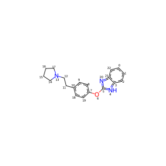 c1ccc2[nH]c(Oc3ccc(CCN4CCCC4)cc3)nc2c1